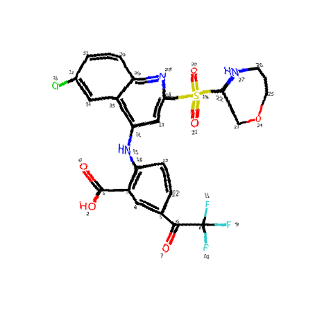 O=C(O)c1cc(C(=O)C(F)(F)F)ccc1Nc1cc(S(=O)(=O)C2COCCN2)nc2ccc(Cl)cc12